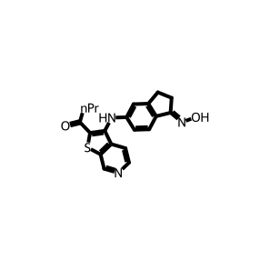 CCCC(=O)c1sc2cnccc2c1Nc1ccc2c(c1)CCC2=NO